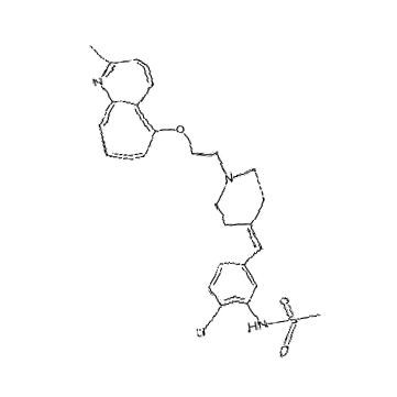 Cc1ccc2c(OCCN3CCC(=Cc4ccc(Cl)c(NS(C)(=O)=O)c4)CC3)cccc2n1